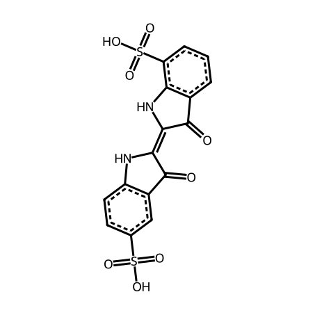 O=C1C(=C2Nc3c(cccc3S(=O)(=O)O)C2=O)Nc2ccc(S(=O)(=O)O)cc21